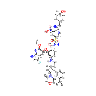 CCOc1nc2[nH]cc(F)c2cc1Oc1cc(N2CCC3(CC2)CC(N2[C@H](C)COC[C@H]2c2ccccc2C(C)C)C3)ccc1C(=O)NS(=O)(=O)c1cnc(NCC2CCC(C)(O)CC2)c([N+](=O)[O-])c1